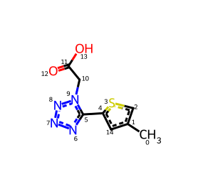 Cc1csc(-c2nnnn2CC(=O)O)c1